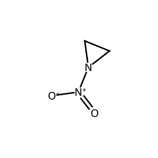 O=[N+]([O-])N1CC1